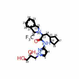 O=C(Nc1ccn(C[C@@H](O)CO)n1)C(CC1CCCC1)N1Cc2ccccc2[C@H]1C(F)(F)F